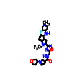 CN1CC[C@@H](Nc2cccc3c2cc(-c2noc(CNC(=O)c4ccn(C5CCOCC5)c4)n2)n3CC(F)(F)F)[C@@H](F)C1